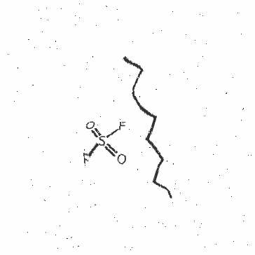 CCCCCCCC.O=S(=O)(F)F